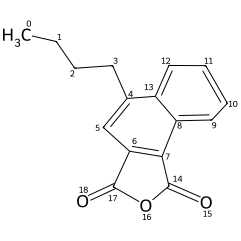 CCCCc1cc2c(c3ccccc13)C(=O)OC2=O